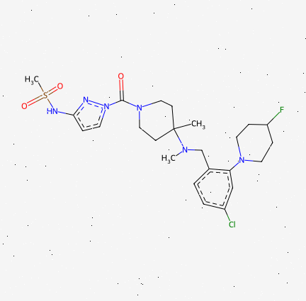 CN(Cc1ccc(Cl)cc1N1CCC(F)CC1)C1(C)CCN(C(=O)n2ccc(NS(C)(=O)=O)n2)CC1